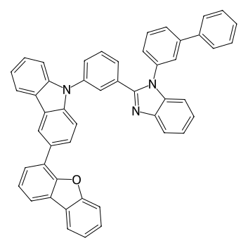 c1ccc(-c2cccc(-n3c(-c4cccc(-n5c6ccccc6c6cc(-c7cccc8c7oc7ccccc78)ccc65)c4)nc4ccccc43)c2)cc1